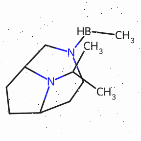 CBN1CCC2CCC(C1)N2C(C)C